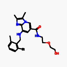 CCc1cccc(C)c1CNc1cc(C(=O)NCCOCCO)cn2c(C)c(C)nc12